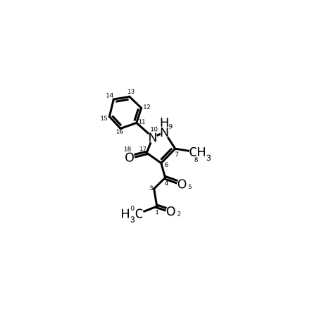 CC(=O)CC(=O)c1c(C)[nH]n(-c2ccccc2)c1=O